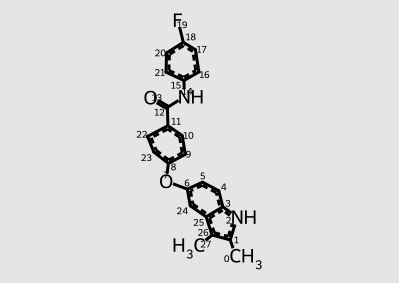 Cc1[nH]c2ccc(Oc3ccc(C(=O)Nc4ccc(F)cc4)cc3)cc2c1C